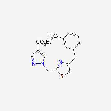 CCOC(=O)c1cnn(Cc2nc(Cc3cccc(C(F)(F)F)c3)cs2)c1